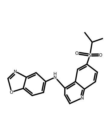 CC(C)S(=O)(=O)c1ccc2nccc(Nc3ccc4ocnc4c3)c2c1